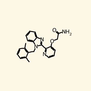 Cc1cccc(C)c1Cn1c(-c2ncccc2OCC(N)=O)nc2ccccc21